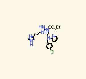 CCOC(=O)N(CCN(Cc1ccc(Cl)cc1)c1ccccn1)C(=N)NCCCc1c[nH]cn1